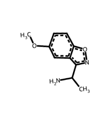 COc1ccc2onc(C(C)N)c2c1